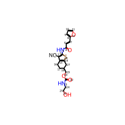 N#Cc1c(NC(=O)C=Cc2ccco2)sc2c1CCC(COC(=O)NCCO)C2